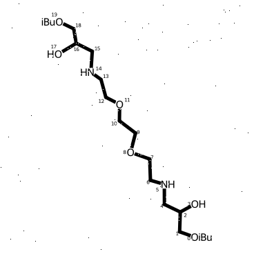 CC(C)COCC(O)CNCCOCCOCCNCC(O)COCC(C)C